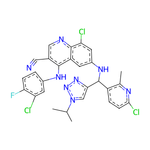 Cc1nc(Cl)ccc1C(Nc1cc(Cl)c2ncc(C#N)c(Nc3ccc(F)c(Cl)c3)c2c1)c1cn(C(C)C)nn1